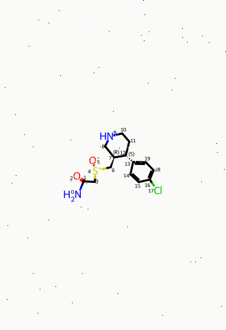 NC(=O)C[S+]([O-])C[C@H]1CNCC[C@@H]1c1ccc(Cl)cc1